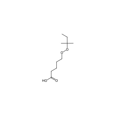 CCC(C)(C)OOCCCCC(=O)O